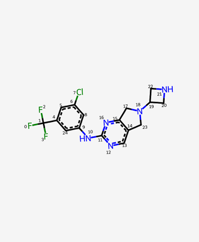 FC(F)(F)c1cc(Cl)cc(Nc2ncc3c(n2)CN(C2CNC2)C3)c1